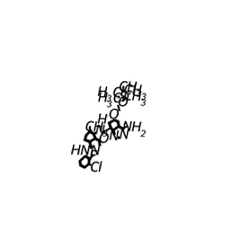 Cc1ccc2c(Nc3cccc(Cl)c3F)nccc2c1NC(=O)c1cc(OCCO[Si](C)(C)C(C)(C)C)cc2c(N)ncnc12